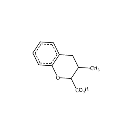 CC1Cc2ccccc2OC1C(=O)O